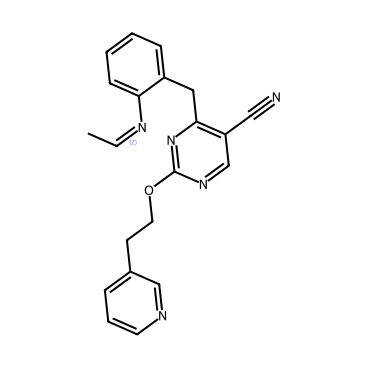 C/C=N\c1ccccc1Cc1nc(OCCc2cccnc2)ncc1C#N